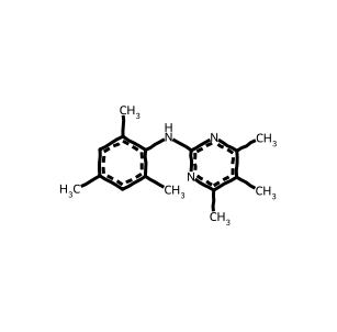 Cc1cc(C)c(Nc2nc(C)c(C)c(C)n2)c(C)c1